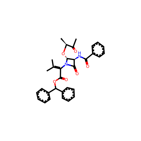 CC(=O)[C@H](C)O[C@@H]1[C@@H](NC(=O)c2ccccc2)C(=O)N1C(C(=O)OC(c1ccccc1)c1ccccc1)=C(C)C